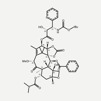 CO[C@H]1C(=O)[C@]2(C)[C@@H](OC(=O)N(C)C)C[C@H]3OC[C@@]3(OC(C)=O)[C@H]2[C@H](OC(=O)c2ccccc2)[C@]23OC(=O)O[C@H]2[C@H](OC(=O)[C@H](O)[C@@H](NC(=O)OC(C)(C)C)c2ccccn2)C(C)=C1C3(C)C